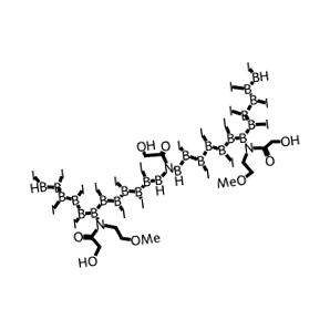 COCCN(B(B(I)B(I)B(I)B(I)BI)B(I)B(I)B(I)B(I)B(I)BN(BB(I)B(I)B(I)B(I)B(I)B(B(I)B(I)B(I)B(I)BI)N(CCOC)C(=O)CO)C(=O)CO)C(=O)CO